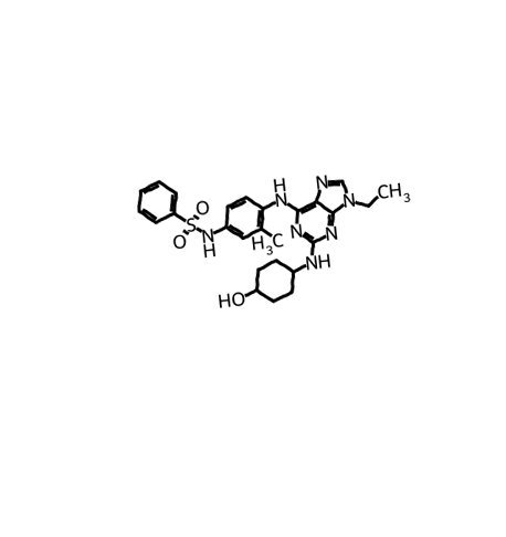 CCn1cnc2c(Nc3ccc(NS(=O)(=O)c4ccccc4)cc3C)nc(NC3CCC(O)CC3)nc21